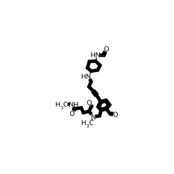 CNC(=O)CCC(C=O)N(C)Cc1cc(C#CCCN[C@H]2CC[C@@H](NC=O)CC2)ccc1C=O